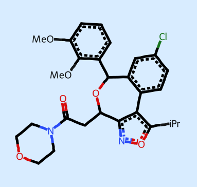 COc1cccc(C2OC(CC(=O)N3CCOCC3)c3noc(C(C)C)c3-c3ccc(Cl)cc32)c1OC